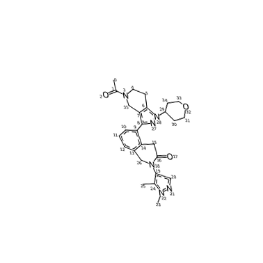 CC(=O)N1CCc2c(c(-c3cccc4c3CC(=O)N(c3cnn(C)c3C)C4)nn2C2CCOCC2)C1